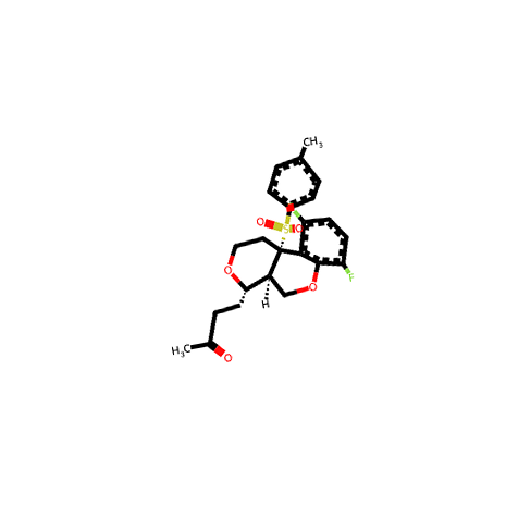 CC(=O)CC[C@@H]1OCC[C@@]2(S(=O)(=O)c3ccc(C)cc3)c3c(F)ccc(F)c3OC[C@@H]12